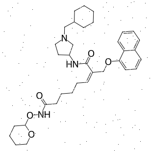 O=C(CCCCC=C(COc1cccc2ccccc12)C(=O)NC1CCN(CC2CCCCC2)C1)NOC1CCCCO1